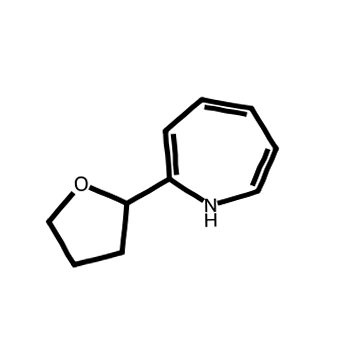 C1=CC=C(C2CCCO2)NC=C1